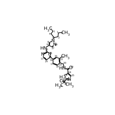 CCCC(CCC)n1cc(Nc2nccc(-c3ccc(CNC(=O)c4cnc(C(C)(C)C)s4)c(C)c3)n2)cn1